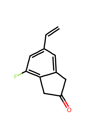 C=Cc1cc(F)c2c(c1)CC(=O)C2